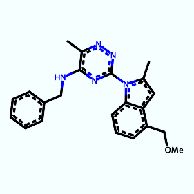 COCc1cccc2c1cc(C)n2-c1nnc(C)c(NCc2ccccc2)n1